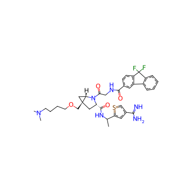 CC(NC(=O)[C@@H]1C[C@]2(COCCCCN(C)C)C[C@@H]2N1C(=O)CNC(=O)c1ccc2c(c1)-c1ccccc1C2(F)F)c1cc(C(=N)N)cs1